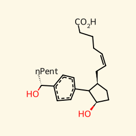 CCCCC[C@@H](O)c1ccc(C2[C@@H](C/C=C\CCCC(=O)O)CC[C@H]2O)cc1